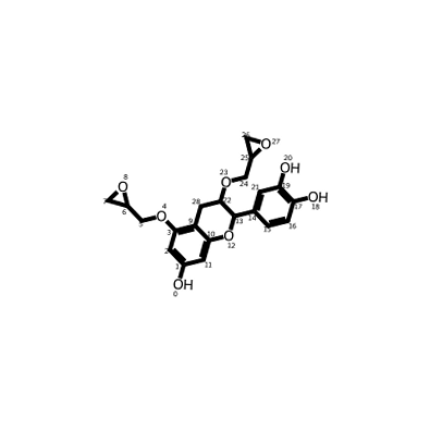 Oc1cc(OCC2CO2)c2c(c1)OC(c1ccc(O)c(O)c1)C(OCC1CO1)C2